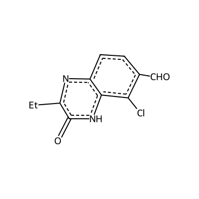 CCc1nc2ccc(C=O)c(Cl)c2[nH]c1=O